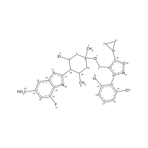 CCC1CC(C)(OCc2c(-c3c(Cl)cccc3Cl)noc2C2CC2)CC(C)C1c1nc2c(F)cc(C(=O)O)cc2s1